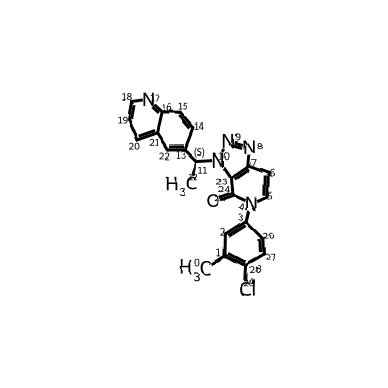 Cc1cc(-n2ccc3nnn([C@@H](C)c4ccc5ncccc5c4)c3c2=O)ccc1Cl